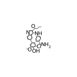 CCCC(=O)c1cnc2ccc(-c3cc(Cl)c(O)c(OC)c3)cc2c1Nc1ccc(CN)cc1